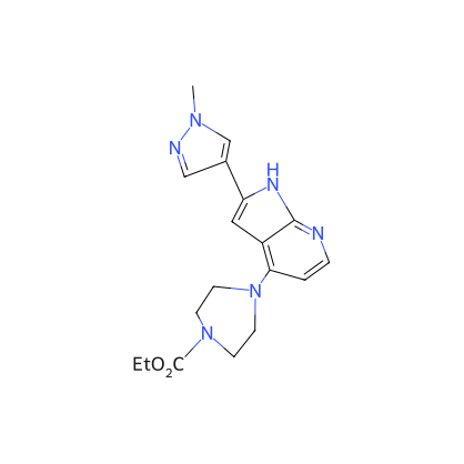 CCOC(=O)N1CCN(c2ccnc3[nH]c(-c4cnn(C)c4)cc23)CC1